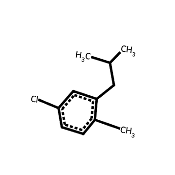 Cc1ccc(Cl)cc1CC(C)C